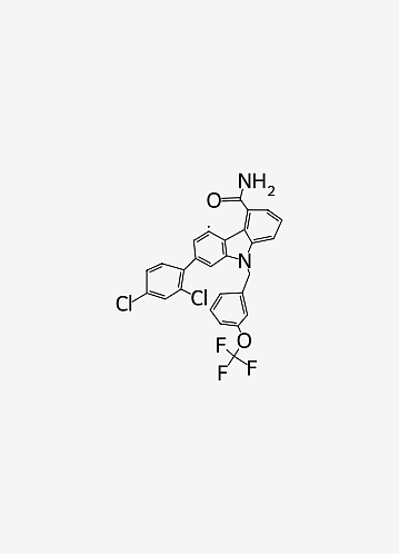 NC(=O)c1cccc2c1c1[c]cc(-c3ccc(Cl)cc3Cl)cc1n2Cc1cccc(OC(F)(F)F)c1